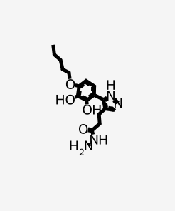 CCCCCOc1ccc(-c2[nH]ncc2CCC(=O)NN)c(O)c1O